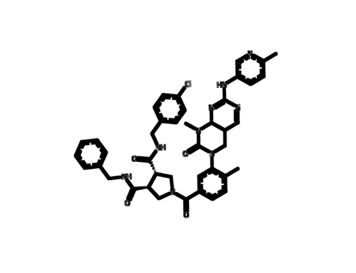 Cc1ccc(NC2=NC3C(C=N2)CN(c2cc(C(=O)N4C[C@@H](C(=O)NCc5ccccc5)[C@H](C(=O)NCc5ccc(Cl)cc5)C4)ccc2C)C(=O)N3C)cn1